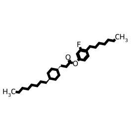 CCCCCCCC[C@H]1CC[C@H](CCC(=O)Oc2ccc(CCCCCCC)c(F)c2)CC1